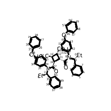 CC[C@H](c1ccccc1)N(C(=O)[C@H]1[C@@H](C(=O)O)[C@H](C(=O)O)[C@@H]1C(=O)N(c1ccc(Oc2ccccc2)cc1)[C@H](CC)c1ccccc1)c1ccc(Oc2ccccc2)cc1